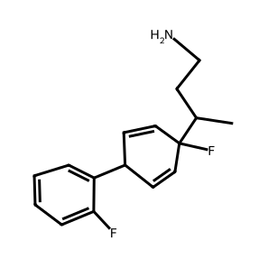 CC(CCN)C1(F)C=CC(c2ccccc2F)C=C1